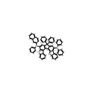 c1ccc(N(c2ccc3ccccc3c2)c2cc3c(c4c2oc2ccccc24)-c2c(cc(N(c4ccccc4)c4ccccc4)c4c2oc2ccccc24)C3(c2ccccc2)c2ccccc2)cc1